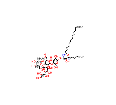 CCCCCCCCCCCCC/C=C/[C@@H](O)[C@H](CO[C@@H]1OC(CO)[C@@H](O[C@@H]2OC(CO)[C@H](O[C@@H]3OC(CO)[C@H](O)[C@H](O)C3NC(C)=O)[C@H](O[C@]3(C(=O)O)CC(O)[C@@H](O)C([C@H](O)[C@H](O)CO)O3)C2O)[C@H](O)C1O)NC(=O)CCCCCCCCCCCCCCCCCCCCCCC